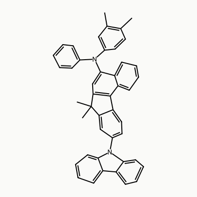 Cc1ccc(N(c2ccccc2)c2cc3c(c4ccccc24)-c2ccc(-n4c5ccccc5c5ccccc54)cc2C3(C)C)cc1C